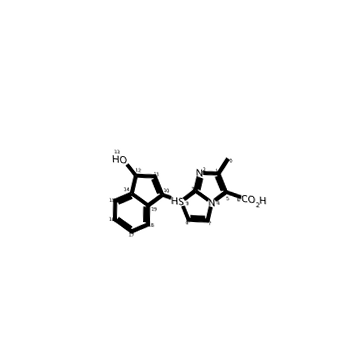 Cc1nc2n(c1C(=O)O)C=C[SH]2C1=CC(O)c2ccccc21